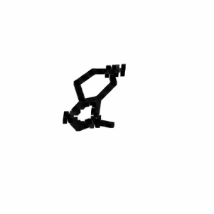 Cn1cnc2c1CNCC2